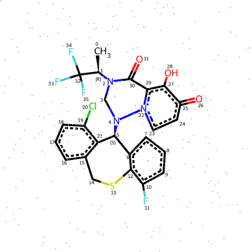 C[C@@H](N1CN([C@H]2c3cccc(F)c3SCc3cccc(Cl)c32)n2ccc(=O)c(O)c2C1=O)C(F)(F)F